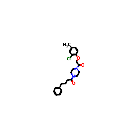 Cc1ccc(OCC(=O)N2CCN(C(=O)CCCc3ccccc3)CC2)c(Cl)c1